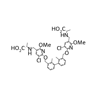 COc1nc(OCc2cccc(-c3cccc(COc4nc(OC)c(CN[C@@H](C)C(=O)O)cc4Cl)c3C)c2C)c(Cl)cc1CN[C@@H](C)C(=O)O